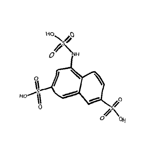 O=S(=O)(O)Nc1cc(S(=O)(=O)O)cc2cc(S(=O)(=O)O)ccc12